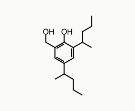 CCCC(C)c1cc(CO)c(O)c(C(C)CCC)c1